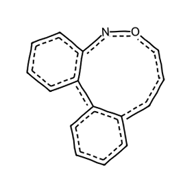 c1ccc2c(c1)ccconc1ccccc12